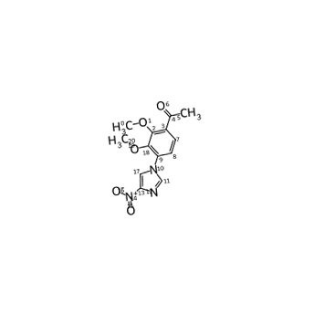 COc1c(C(C)=O)ccc(-n2cnc([N+](=O)[O-])c2)c1OC